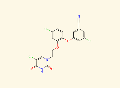 N#Cc1cc(Cl)cc(Oc2ccc(Cl)cc2OCCn2cc(Cl)c(=O)[nH]c2=O)c1